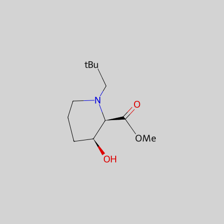 COC(=O)[C@H]1[C@@H](O)CCCN1CC(C)(C)C